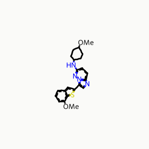 COc1cccc2cc(-c3cnc4ccc(NC5CCC(OC)CC5)nn34)sc12